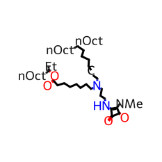 CCCCCCCCC(CCCCCCCC)CCCCCCCN(CCCCCCCC(=O)OC(CC)CCCCCCCC)CCCNc1c(NC)c(=O)c1=O